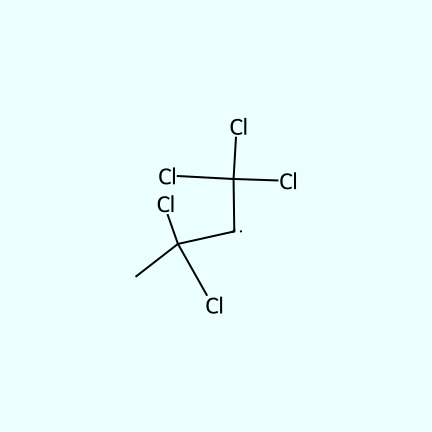 CC(Cl)(Cl)[CH]C(Cl)(Cl)Cl